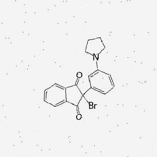 O=C1c2ccccc2C(=O)C1(Br)c1cccc(N2CCCC2)c1